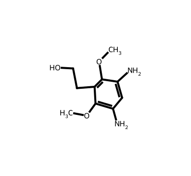 COc1c(N)cc(N)c(OC)c1CCO